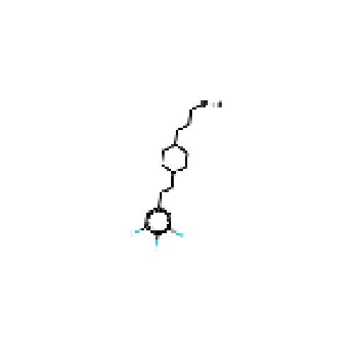 CCCC(C)CCCC1CCC(CCc2cc(F)c(F)c(F)c2)CC1